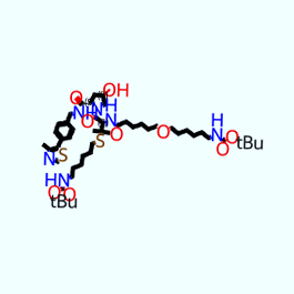 Cc1ncsc1-c1ccc(CNC(=O)[C@@H]2C[C@@H](O)CN2C(=O)[C@@H](NC(=O)CCCCCOCCCCCCNC(=O)OC(C)(C)C)C(C)(C)SCCCCCCNC(=O)OC(C)(C)C)cc1